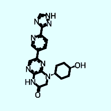 O=C1CN([C@H]2CC[C@H](O)CC2)c2nc(-c3ccc(-c4nc[nH]n4)nc3)cnc2N1